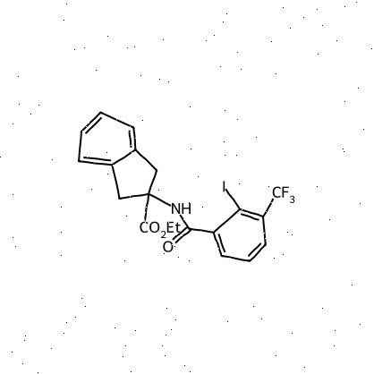 CCOC(=O)C1(NC(=O)c2cccc(C(F)(F)F)c2I)Cc2ccccc2C1